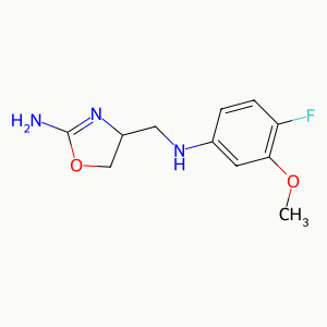 COc1cc(NCC2COC(N)=N2)ccc1F